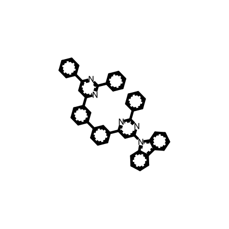 c1ccc(-c2cc(-c3cccc(-c4cccc(-c5cc(-n6c7ccccc7c7ccccc76)nc(-c6ccccc6)n5)c4)c3)nc(-c3ccccc3)n2)cc1